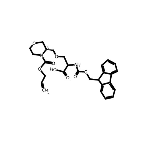 C=CCOC(=O)N1CCOC[C@H]1COCC(NC(=O)OCC1c2ccccc2-c2ccccc21)C(=O)O